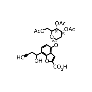 C#CCC(O)c1ccc(O[C@H]2C[C@@H](OC(C)=O)[C@@H](OC(C)=O)C(COC(C)=O)O2)c2cc(C(=O)O)oc12